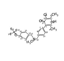 Cc1[nH]c(C)c(-c2ccc(CN(C)Cc3ccc(OC(F)(F)F)cc3)cc2)c(=O)c1Cl